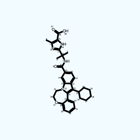 Cc1nc(C(C)(C)NC(=O)c2ccc3c(C4CCCCC4)c4n(c3c2)CCOc2ccccc2-4)[nH]c1C(=O)O